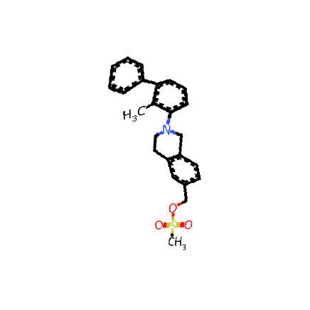 Cc1c(-c2ccccc2)cccc1N1CCc2cc(COS(C)(=O)=O)ccc2C1